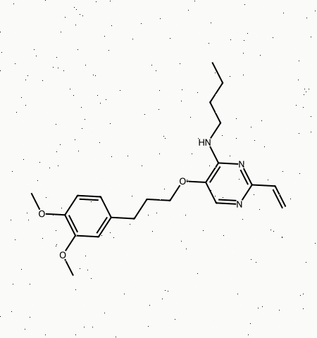 C=Cc1ncc(OCCCc2ccc(OC)c(OC)c2)c(NCCCC)n1